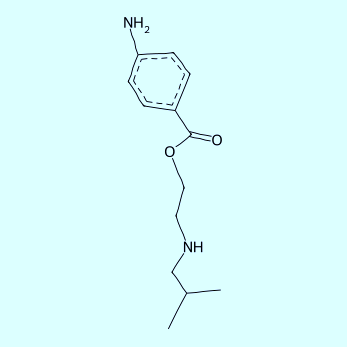 CC(C)CNCCOC(=O)c1ccc(N)cc1